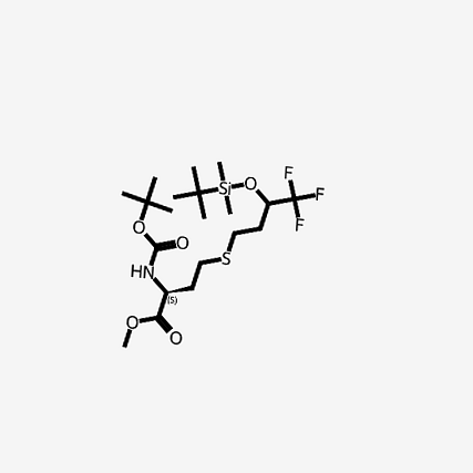 COC(=O)[C@H](CCSCCC(O[Si](C)(C)C(C)(C)C)C(F)(F)F)NC(=O)OC(C)(C)C